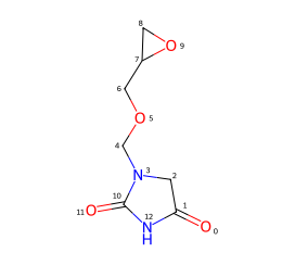 O=C1CN(COCC2CO2)C(=O)N1